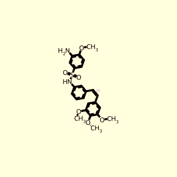 COc1ccc(S(=O)(=O)Nc2cccc(/C=C\c3cc(OC)c(OC)c(OC)c3)c2)cc1N